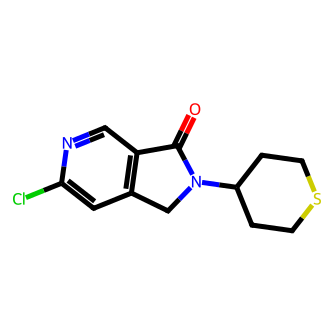 O=C1c2cnc(Cl)cc2CN1C1CCSCC1